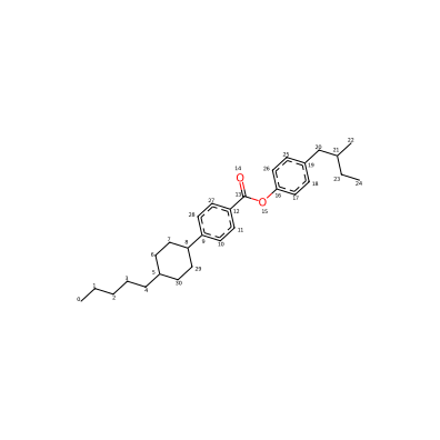 CCCCCC1CCC(c2ccc(C(=O)Oc3ccc(CC(C)CC)cc3)cc2)CC1